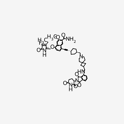 CC[C@@H]1[C@H](F)C(=O)N[C@@H]1COc1ccc(C#C[C@H]2CC[C@H](CN3CCC4(CC3)CC(CNc3cccc5c3C(=O)N(C3CCC(=O)NC3=O)C5=O)C4)CC2)c2cc(C(N)=O)c(OC)cc12